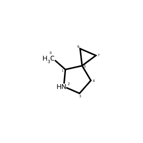 CC1NCCC12CC2